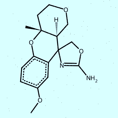 COc1ccc2c(c1)C1(COC(N)=N1)[C@@H]1COCC[C@@]1(C)O2